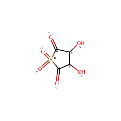 O=C1C(O)C(O)C(=O)S1(=O)=O